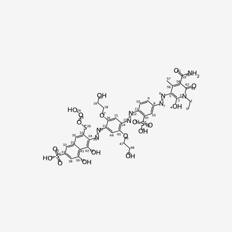 CCn1c(O)c(/N=N/c2ccc(/N=N/c3cc(OCCO)c(/N=N/c4c(SOOO)cc5cc(S(=O)(=O)O)cc(O)c5c4O)cc3OCCO)c(S(=O)(=O)O)c2)c(C)c(C(N)=O)c1=O